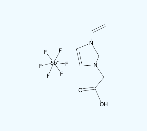 C=CN1C=CN(CC(=O)O)C1.[F][Sb-]([F])([F])([F])([F])[F]